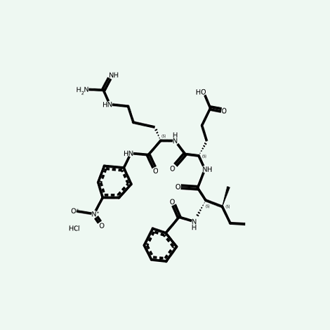 CC[C@H](C)[C@H](NC(=O)c1ccccc1)C(=O)N[C@@H](CCC(=O)O)C(=O)N[C@@H](CCCNC(=N)N)C(=O)Nc1ccc([N+](=O)[O-])cc1.Cl